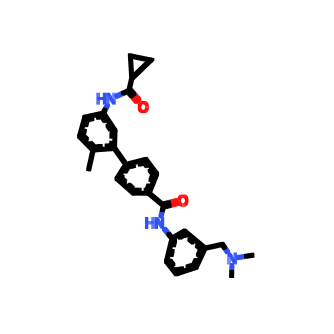 Cc1ccc(NC(=O)C2CC2)cc1-c1ccc(C(=O)Nc2cccc(CN(C)C)c2)cc1